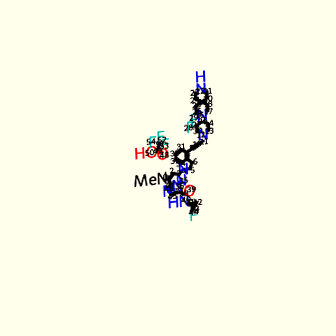 CNc1cc(N2CCc3c(C#CCN4CCC(N5CCC6(CCNCC6)CC5)C(F)(F)C4)cccc32)nn2c(C(=O)N[C@@H]3C[C@@H]3F)cnc12.O=C(O)C(F)(F)F